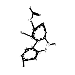 C=C(C)Sc1ccc(OC)c(-c2ccc(C)cc2Cl)c1C